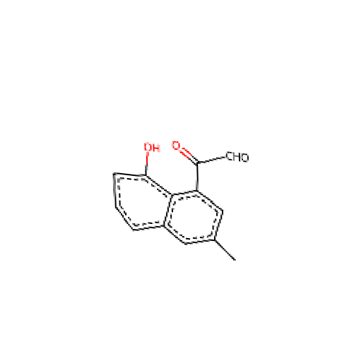 Cc1cc(C(=O)C=O)c2c(O)cccc2c1